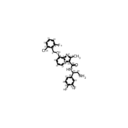 Cc1nc2c(OCc3c(F)cccc3Cl)cccn2c1C(=O)NC(CN)c1ccc(F)c(F)c1